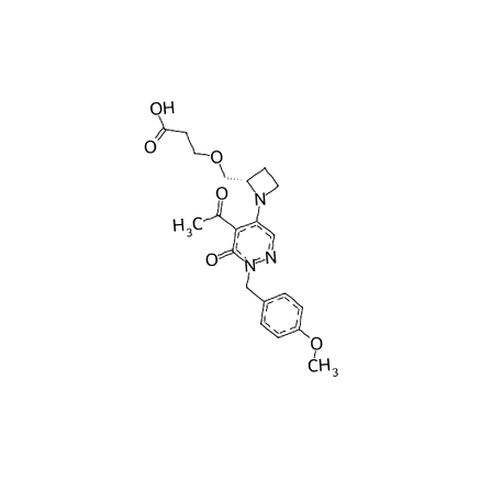 COc1ccc(Cn2ncc(N3CC[C@H]3COCCC(=O)O)c(C(C)=O)c2=O)cc1